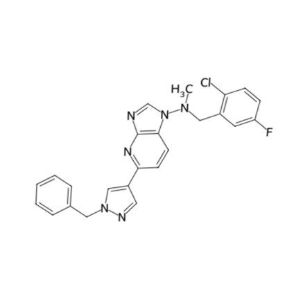 CN(Cc1cc(F)ccc1Cl)n1cnc2nc(-c3cnn(Cc4ccccc4)c3)ccc21